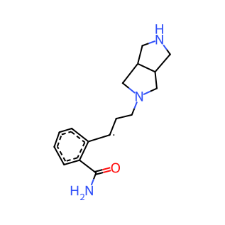 NC(=O)c1ccccc1[CH]CCN1CC2CNCC2C1